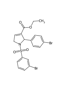 CCOC(=O)C1=CCN(S(=O)(=O)c2cccc(Br)c2)C1c1ccc(Br)cc1